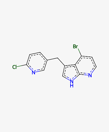 Clc1ccc(Cc2c[nH]c3nccc(Br)c23)cn1